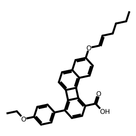 CCCCC=COc1ccc2c3c(ccc2c1)-c1c(-c2ccc(OCC)cc2)ccc(C(=O)O)c1-3